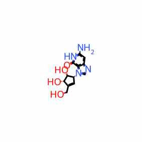 Nc1cc2ncn([C@@H]3C=C(CO)[C@H](O)C3O)c2c(=O)[nH]1